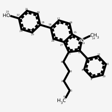 CCCCCc1c(-c2ccccc2)n(C)c2ccc(-c3ccc(O)cc3)cc12